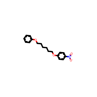 O=[N+]([O-])c1ccc(OCCCCCCOc2ccccc2)cc1